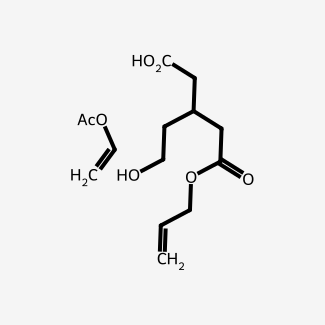 C=CCOC(=O)CC(CCO)CC(=O)O.C=COC(C)=O